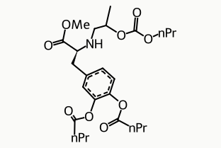 CCCOC(=O)OC(C)CN[C@@H](Cc1ccc(OC(=O)CCC)c(OC(=O)CCC)c1)C(=O)OC